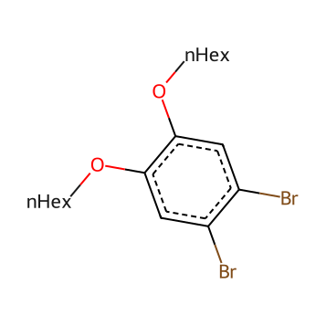 CCCCCCOc1cc(Br)c(Br)cc1OCCCCCC